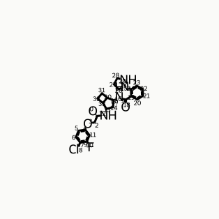 O=C(COc1ccc(Cl)c(F)c1)NC1C[C@H](NC(=O)c2ccccc2N2CCCN2)C2CCC12